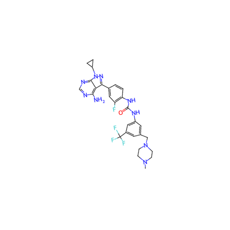 CN1CCN(Cc2cc(NC(=O)Nc3ccc(-c4nn(C5CC5)c5ncnc(N)c45)cc3F)cc(C(F)(F)F)c2)CC1